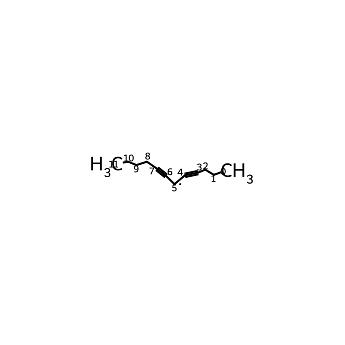 CCCC#C[CH]C#CCCCC